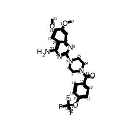 COc1cc2nc(N3CCN(C(=O)c4ccc(OC(F)(F)F)cc4)CC3)nc(N)c2cc1OC